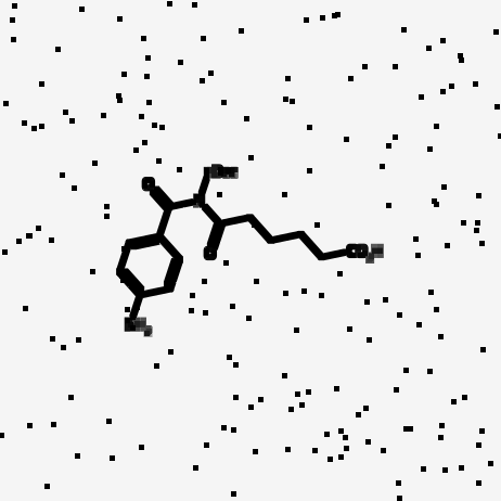 CCCCCCCCCCN(C(=O)CCCCC(=O)O)C(=O)c1ccc(N)cc1